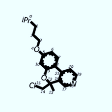 CC(C)CCCOc1ccc2c(c1)OC(C)(CCl)c1cnccc1-2